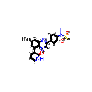 CC(C)(C)c1cc(-c2ccc[nH]c2=O)c2ncc(-c3ccc(NS(C)(=O)=O)cc3)nc2c1